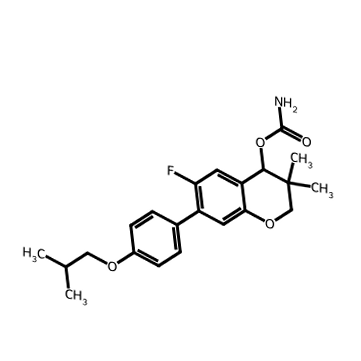 CC(C)COc1ccc(-c2cc3c(cc2F)C(OC(N)=O)C(C)(C)CO3)cc1